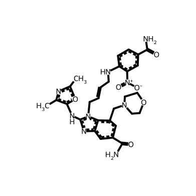 Cc1nc(C)c(Nc2nc3cc(C(N)=O)cc(CN4CCOCC4)c3n2C/C=C/CNc2ccc(C(N)=O)cc2[N+](=O)[O-])o1